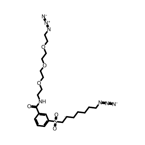 [N-]=[N+]=NCCCCC[CH]CS(=O)(=O)c1cccc(C(=O)NCCOCCOCCOCCN=[N+]=[N-])c1